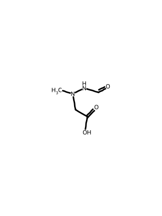 CN(CC(=O)O)NC=O